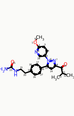 COc1ccc(-n2nc(C(=O)C(C)C)cc2-c2ccc(CCNC(N)=O)cc2)cn1